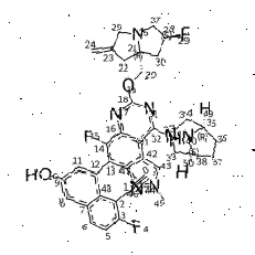 C#Cc1c(F)ccc2cc(O)cc(-c3c(F)c4nc(OC[C@]56CC(=C)CN5C[C@@H](F)C6)nc(N5C[C@H]6CC[C@@H](C5)N6)c4c4cn(C)nc34)c12